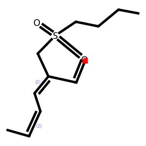 C=C/C(=C\C=C/C)CS(=O)(=O)CCCC